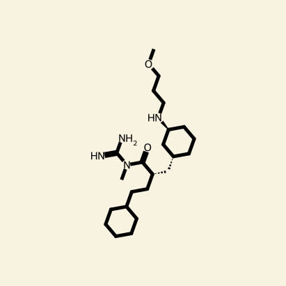 COCCCN[C@H]1CCC[C@H](C[C@H](CCC2CCCCC2)C(=O)N(C)C(=N)N)C1